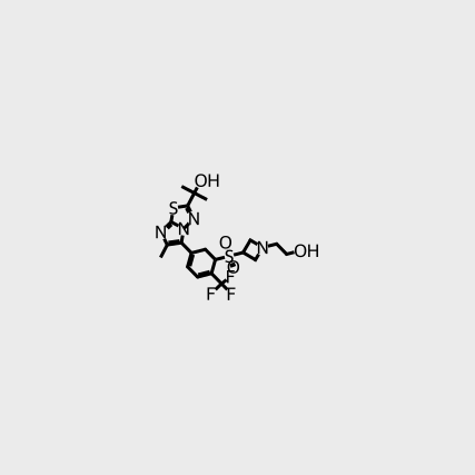 Cc1nc2sc(C(C)(C)O)nn2c1C1=CC=C(C(F)(F)F)C(S(=O)(=O)C2CN(CCO)C2)C1